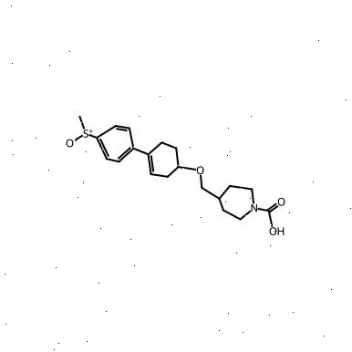 C[S+]([O-])c1ccc(C2=CCC(OCC3CCN(C(=O)O)CC3)CC2)cc1